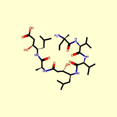 CC[C@](C)(N)C(=O)N[C@H](C(=O)N[C@H](C(=O)N[C@@H](CC(C)C)[C@@H](O)CC(=O)N[C@@H](C)C(=O)N[C@@H](CC(C)C)[C@@H](O)CC(=O)O)C(C)C)C(C)C